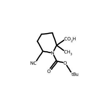 CC(C)(C)OC(=O)N1C(C#N)CCCC1(C)C(=O)O